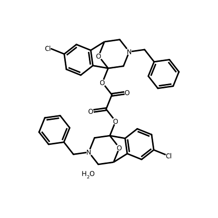 O.O=C(OC12CN(Cc3ccccc3)CC(O1)c1cc(Cl)ccc12)C(=O)OC12CN(Cc3ccccc3)CC(O1)c1cc(Cl)ccc12